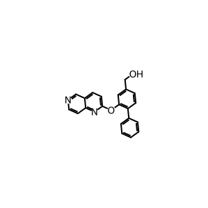 OCc1ccc(-c2ccccc2)c(Oc2ccc3cnccc3n2)c1